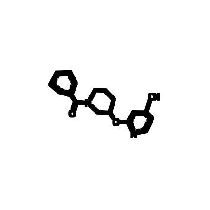 N#Cc1ccnc(OC2CCCN(C(=O)c3ccccc3)C2)c1